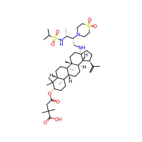 C=C(C)[C@@H]1CC[C@]2(NC[C@H]([C@@H](C)NS(=O)(=O)C(C)C)N3CCS(=O)(=O)CC3)CC[C@]3(C)[C@H](CC[C@@H]4[C@@]5(C)CC[C@H](OC(=O)CC(C)(C)C(=O)O)C(C)(C)[C@@H]5CC[C@]43C)[C@@H]12